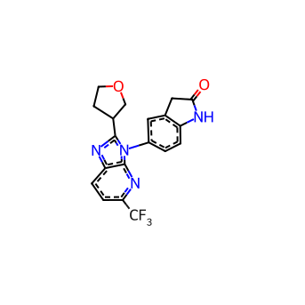 O=C1Cc2cc(-n3c(C4CCOC4)nc4ccc(C(F)(F)F)nc43)ccc2N1